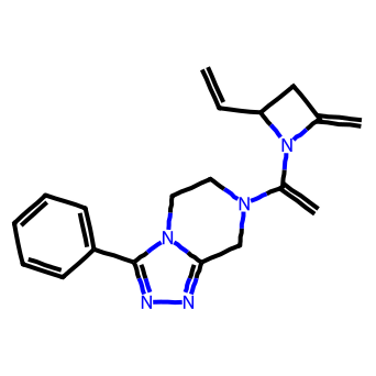 C=CC1CC(=C)N1C(=C)N1CCn2c(nnc2-c2ccccc2)C1